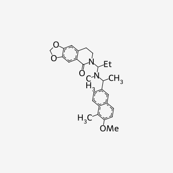 CCC(N1CCc2cc3c(cc2C1=O)OCO3)N(C)C(C)c1ccc2c(C)c(OC)ccc2c1